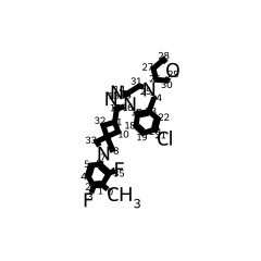 Cc1c(F)ccc(N2CC3(CC(c4nnc5n4-c4ccc(Cl)cc4CN([C@@H]4CCOC4)C5)C3)C2)c1F